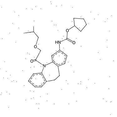 CC(C)COCC(=O)N1c2ccccc2CCc2ccc(NC(=O)OC3CCCC3)cc21